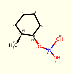 C[C@H]1CCCC[C@H]1ON(O)O